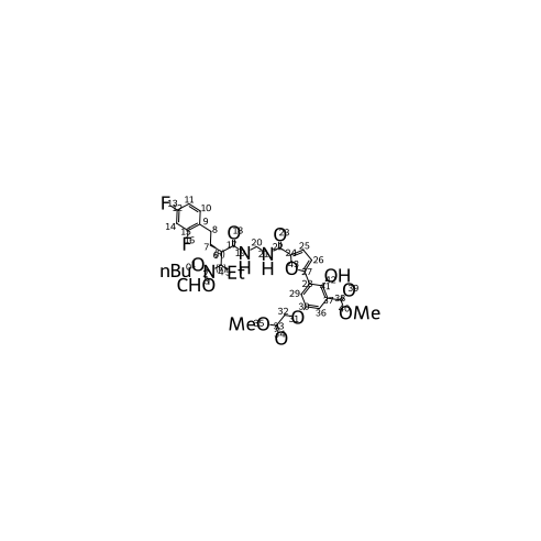 CCCCON(C=O)[C@H](CC)[C@@H](CCc1ccc(F)cc1F)C(=O)NCNC(=O)c1ccc(-c2cc(OCC(=O)OC)cc(C(=O)OC)c2O)o1